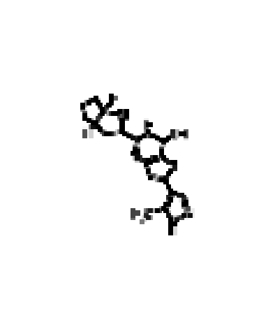 Cc1[nH]ncc1-c1cc2c(s1)C(O)NC(C1C[C@@H]3CCC[C@@H]3N1)=N2